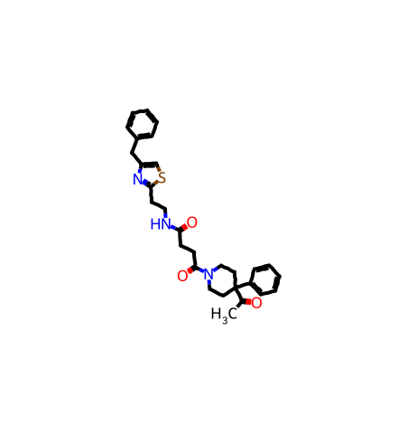 CC(=O)C1(c2ccccc2)CCN(C(=O)CCC(=O)NCCc2nc(Cc3ccccc3)cs2)CC1